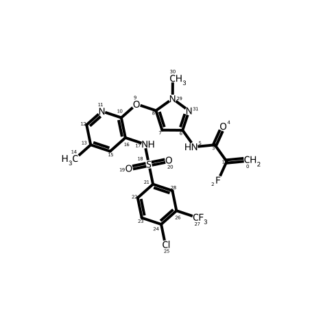 C=C(F)C(=O)Nc1cc(Oc2ncc(C)cc2NS(=O)(=O)c2ccc(Cl)c(C(F)(F)F)c2)n(C)n1